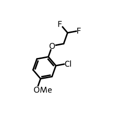 COc1ccc(OCC(F)F)c(Cl)c1